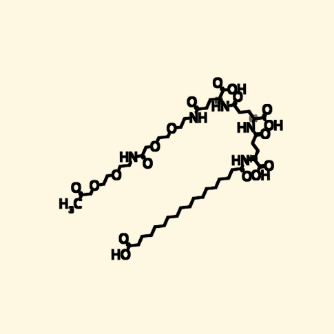 CC(=O)COCCOCCNC(=O)COCCOCCNC(=O)CC[C@H](NC(=O)CC[C@H](NC(=O)CC[C@H](NC(=O)CCCCCCCCCCCCCCCCC(=O)O)C(=O)O)C(=O)O)C(=O)O